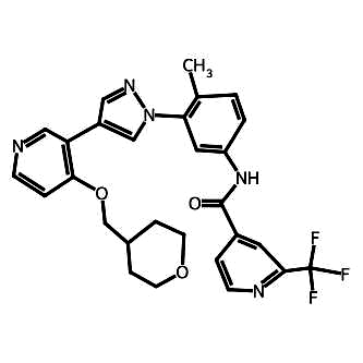 Cc1ccc(NC(=O)c2ccnc(C(F)(F)F)c2)cc1-n1cc(-c2cnccc2OCC2CCOCC2)cn1